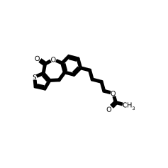 CC(=O)OCCCCc1ccc2c(c1)Cc1ccsc1C(=O)O2